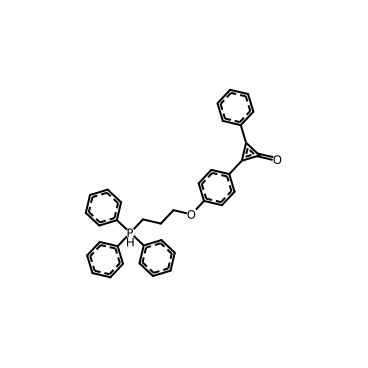 O=c1c(-c2ccccc2)c1-c1ccc(OCCC[PH](c2ccccc2)(c2ccccc2)c2ccccc2)cc1